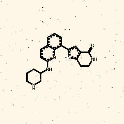 O=C1NCCc2[nH]c(-c3cccc4ccc(NC5CCCNC5)nc34)cc21